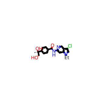 CCn1cc(Cl)c2cnc(NC(=O)c3ccc([C@](C)(O)CO)cc3)cc21